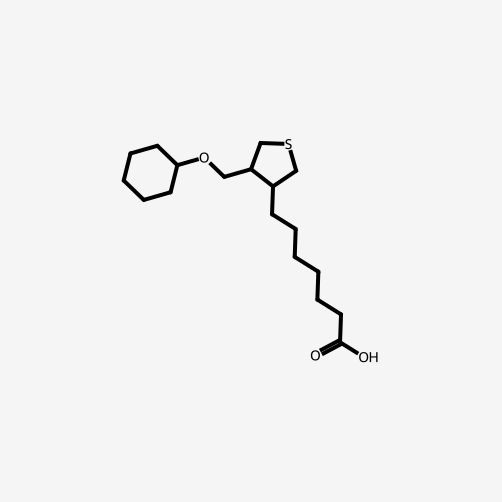 O=C(O)CCCCCCC1CSCC1COC1CCCCC1